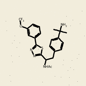 CC(=O)NC(Cc1ccc(C(C)(C)N)cc1)c1nnc(-c2cccc(OC(F)(F)F)c2)s1